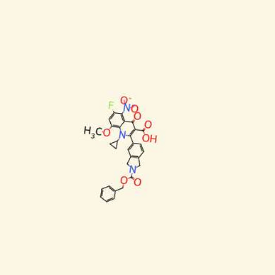 COc1cc(F)c([N+](=O)[O-])c2c(=O)c(C(=O)O)c(-c3ccc4c(c3)CN(C(=O)OCc3ccccc3)C4)n(C3CC3)c12